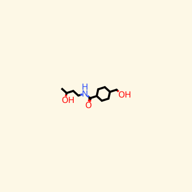 CC(O)CCNC(=O)C1CCC(CO)CC1